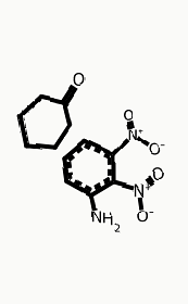 Nc1cccc([N+](=O)[O-])c1[N+](=O)[O-].O=C1CCCCC1